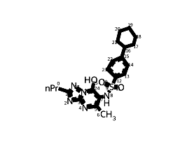 CCCc1nc2nc(C)c(NS(=O)(=O)c3ccc(C4CCCCC4)cc3)c(O)n2n1